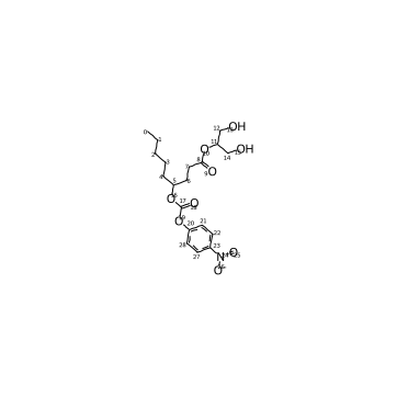 CCCCCC(CCC(=O)OC(CO)CO)OC(=O)Oc1ccc([N+](=O)[O-])cc1